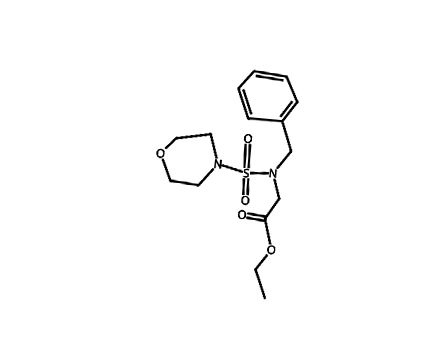 CCOC(=O)CN(Cc1ccccc1)S(=O)(=O)N1CCOCC1